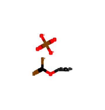 CCCCOC(=S)[S-].O=S(=O)([O-])[O-].[Cu+3]